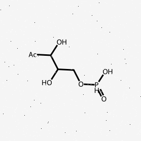 CC(=O)C(O)C(O)CO[PH](=O)O